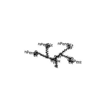 CCCCCC(CC)OC(=O)CCCCCCCCN(CCCCCCCCC(=O)OC(CC)CCCCC)CCCNC(=O)c1cc(NC(=O)CCCN(C)C)cc(C(=O)NCCCN(CCCCCCCCC(=O)OC(CC)CCCCC)CCCCCCCCC(=O)OC(CC)CCCCC)c1